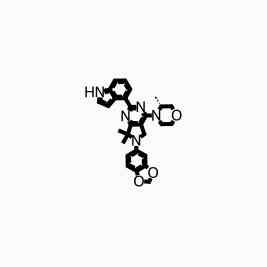 C[C@@H]1COCCN1c1nc(-c2cccc3[nH]ccc23)nc2c1CN(c1ccc3c(c1)OCO3)C2(C)C